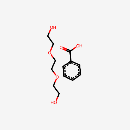 O=C(O)c1ccccc1.OCCOCCOCCO